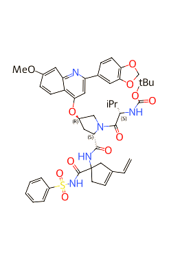 C=CC1=CCC(NC(=O)[C@@H]2C[C@@H](Oc3cc(-c4ccc5c(c4)OCO5)nc4cc(OC)ccc34)CN2C(=O)[C@@H](NC(=O)OC(C)(C)C)C(C)C)(C(=O)NS(=O)(=O)c2ccccc2)C1